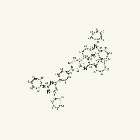 c1ccc(-c2cc(-c3ccc(-c4ccc5c(c4)nc(-c4ccccc4)c4c5ccc5c4c4ccccc4n5-c4ccccc4)cc3)nc(-c3ccccc3)n2)cc1